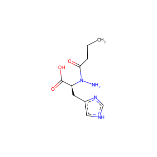 CCCC(=O)N(N)[C@@H](Cc1c[nH]cn1)C(=O)O